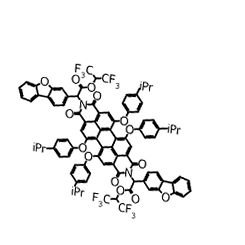 CC(C)c1ccc(Oc2cc3c4c(cc(Oc5ccc(C(C)C)cc5)c5c6c(Oc7ccc(C(C)C)cc7)cc7c8c(cc(Oc9ccc(C(C)C)cc9)c(c2c45)c86)C(=O)N(C(C(=O)OC(C(F)(F)F)C(F)(F)F)c2ccc4c(c2)oc2ccccc24)C7=O)C(=O)N(C(C(=O)OC(C(F)(F)F)C(F)(F)F)c2ccc4c(c2)oc2ccccc24)C3=O)cc1